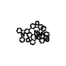 C1=Cc2oc3cccc(-c4nc(-c5cccc6oc7ccccc7c56)nc(-c5cccc6oc7ccc(-c8ccc9c(c8)c8ccccc8n9-c8ccccc8)cc7c56)n4)c3c2C(c2ccc3c(c2)c2ccccc2n3-c2ccccc2)C1